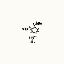 CCCCOc1ccc(CNCC)cc1OCCCC